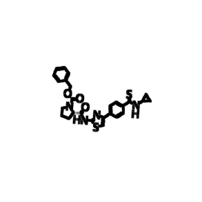 O=C(Nc1nc(-c2ccc(C(=S)NC3CC3)cc2)cs1)[C@@H]1CCCN1C(=O)OCc1ccccc1